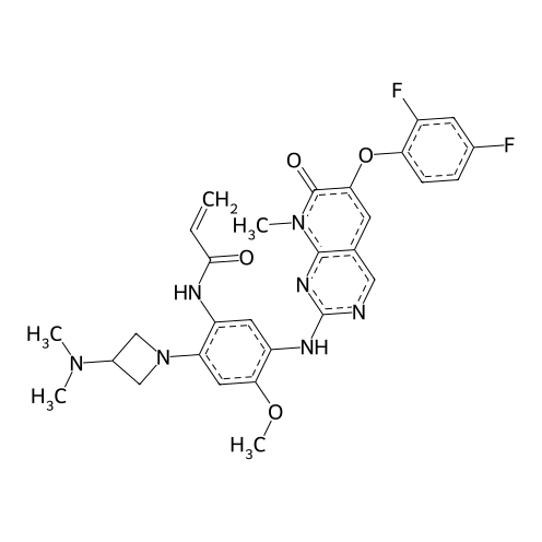 C=CC(=O)Nc1cc(Nc2ncc3cc(Oc4ccc(F)cc4F)c(=O)n(C)c3n2)c(OC)cc1N1CC(N(C)C)C1